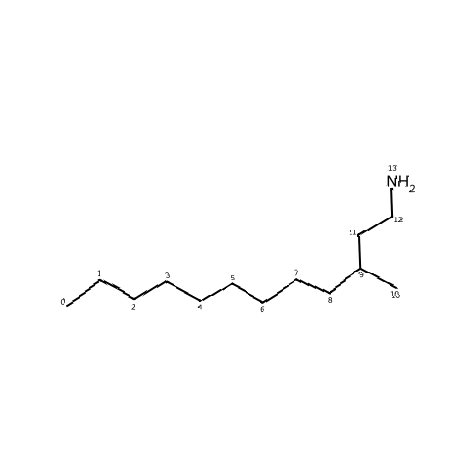 CCCCCCCCCC(C)CCN